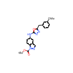 COc1cccc(Cc2nnc(Nc3ccc4c(cnn4C(=O)OC(C)(C)C)c3)o2)c1